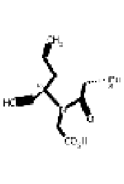 C#C[C@@H](CC=C)N(CC(=O)O)C(=O)C[C@@H](C)CC